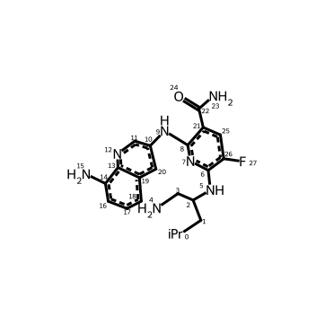 CC(C)CC(CN)Nc1nc(Nc2cnc3c(N)cccc3c2)c(C(N)=O)cc1F